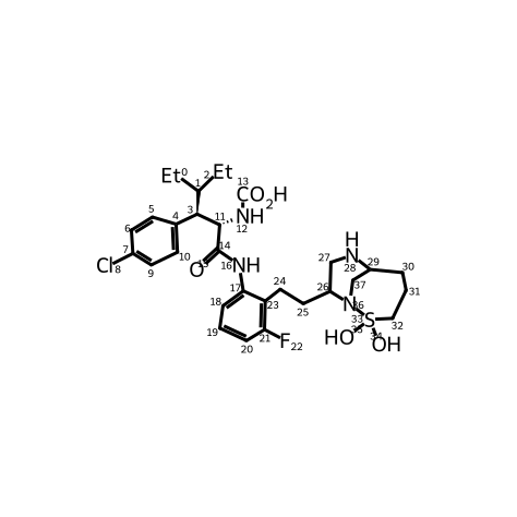 CCC(CC)[C@H](c1ccc(Cl)cc1)[C@H](NC(=O)O)C(=O)Nc1cccc(F)c1CCC1CNC2CCCS(O)(O)N1C2